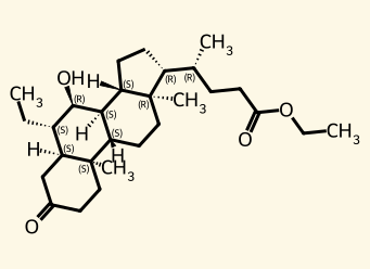 CCOC(=O)CC[C@@H](C)[C@H]1CC[C@H]2[C@@H]3[C@H](O)[C@@H](CC)[C@@H]4CC(=O)CC[C@]4(C)[C@H]3CC[C@]12C